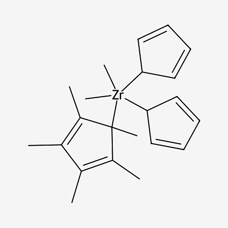 CC1=C(C)[C](C)([Zr]([CH3])([CH3])([CH]2C=CC=C2)[CH]2C=CC=C2)C(C)=C1C